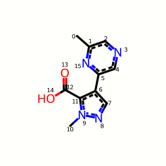 Cc1cncc(-c2cnn(C)c2C(=O)O)n1